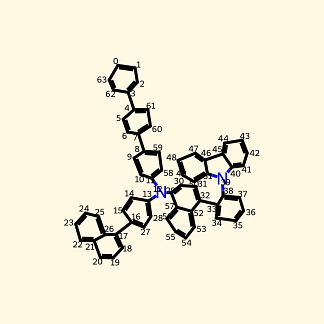 c1ccc(-c2ccc(-c3ccc(N(c4ccc(-c5cccc6ccccc56)cc4)c4ccc(-c5ccccc5-n5c6ccccc6c6ccccc65)c5ccccc45)cc3)cc2)cc1